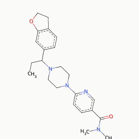 CCC(c1ccc2c(c1)OCC2)N1CCN(c2ccc(C(=O)N(C)C)cn2)CC1